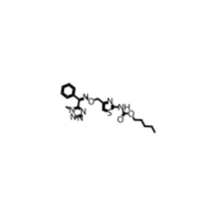 CCCCCOC(=O)Nc1nc(CON=C(c2ccccc2)c2nnnn2C)cs1